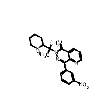 CC(C)(C1CCCCN1)n1nc(-c2cccc([N+](=O)[O-])c2)c2ncccc2c1=O